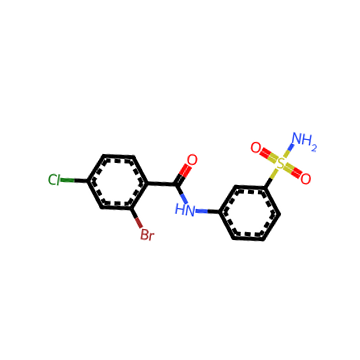 NS(=O)(=O)c1cccc(NC(=O)c2ccc(Cl)cc2Br)c1